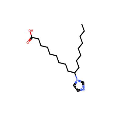 CCCCCCCCC(CCCCCCCCC(=O)O)n1ccnc1